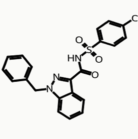 O=C(NS(=O)(=O)c1ccc(Cl)cc1)c1nn(Cc2ccccc2)c2ccccc12